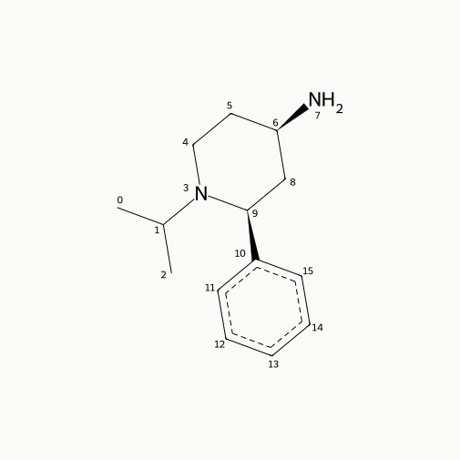 CC(C)N1CC[C@@H](N)C[C@H]1c1ccccc1